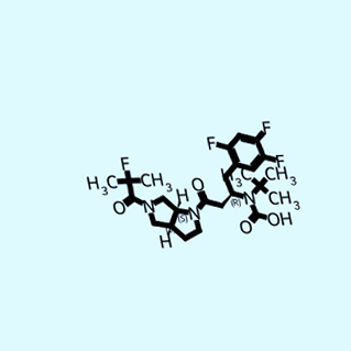 CC(C)(F)C(=O)N1C[C@@H]2CCN(C(=O)C[C@@H](Cc3cc(F)c(F)cc3F)N(C(=O)O)C(C)(C)C)[C@@H]2C1